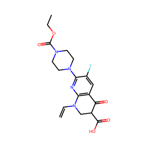 C=CN1CC(C(=O)O)C(=O)c2cc(F)c(N3CCN(C(=O)OCC)CC3)nc21